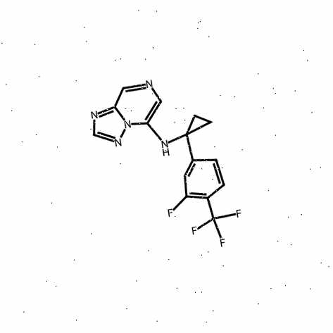 Fc1cc(C2(Nc3cncc4ncnn34)CC2)ccc1C(F)(F)F